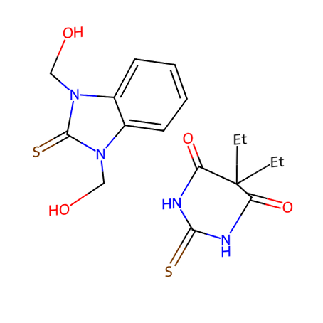 CCC1(CC)C(=O)NC(=S)NC1=O.OCn1c(=S)n(CO)c2ccccc21